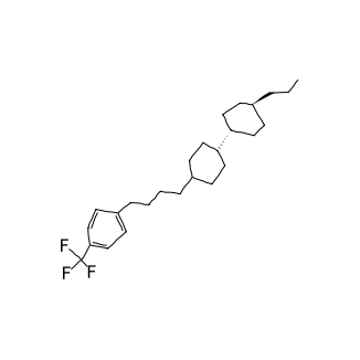 CCC[C@H]1CC[C@H](C2CCC(CCCCc3ccc(C(F)(F)F)cc3)CC2)CC1